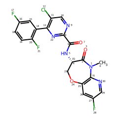 CN1C(=O)[C@@H](NC(=O)c2ncc(Cl)c(-c3cc(F)ccc3F)n2)COc2cc(F)cnc21